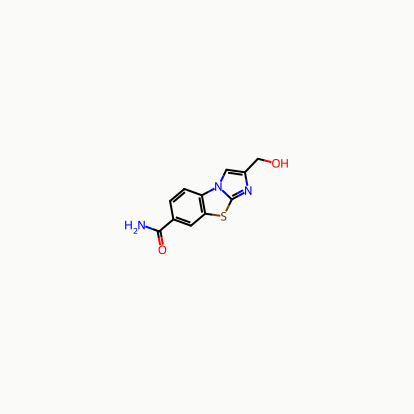 NC(=O)c1ccc2c(c1)sc1nc(CO)cn12